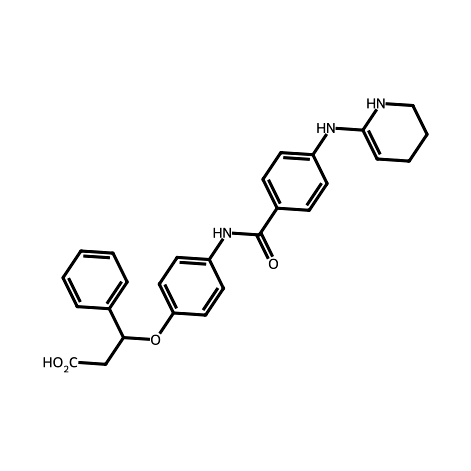 O=C(O)CC(Oc1ccc(NC(=O)c2ccc(NC3=CCCCN3)cc2)cc1)c1ccccc1